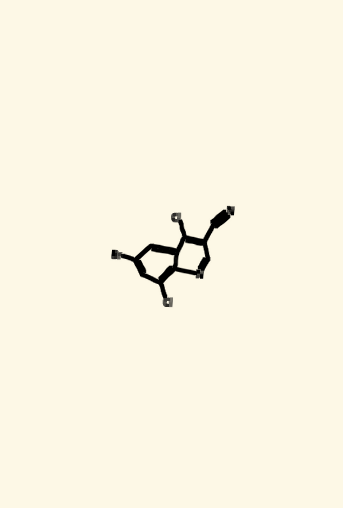 N#Cc1cnc2c(Cl)cc(Br)cc2c1Cl